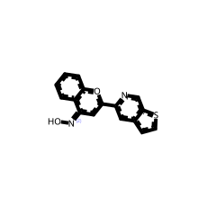 O/N=c1/cc(-c2cc3ccsc3cn2)oc2ccccc12